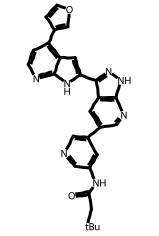 CC(C)(C)CC(=O)Nc1cncc(-c2cnc3[nH]nc(-c4cc5c(-c6ccoc6)ccnc5[nH]4)c3c2)c1